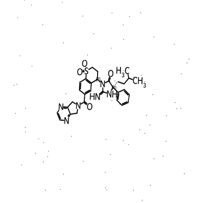 CC(C)CC[C@]1(c2ccccc2)NC(=N)N([C@@H]2CCS(=O)(=O)c3ccc(C(=O)N4Cc5nccnc5C4)cc32)C1=O